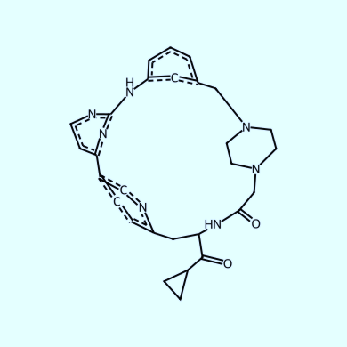 O=C1CN2CCN(CC2)Cc2cccc(c2)Nc2nccc(n2)-c2ccc(nc2)CC(C(=O)C2CC2)N1